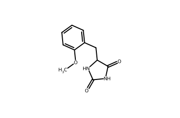 COc1ccccc1CC1NC(=O)NC1=O